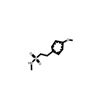 CNS(=O)(=O)CCc1ccc(OC)cc1